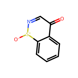 O=c1cn[s+]([O-])c2ccccc12